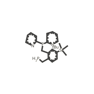 CC(C)(C)c1c([Si](C)(C)C)ccc(CP)c1CP(c1ccccn1)c1ccccn1